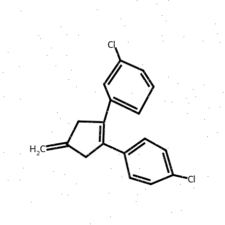 C=C1CC(c2ccc(Cl)cc2)=C(c2cccc(Cl)c2)C1